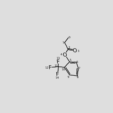 CCC(=O)Oc1ccccc1C(F)(F)F